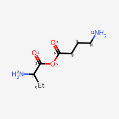 CCC(N)C(=O)OC(=O)CCCN